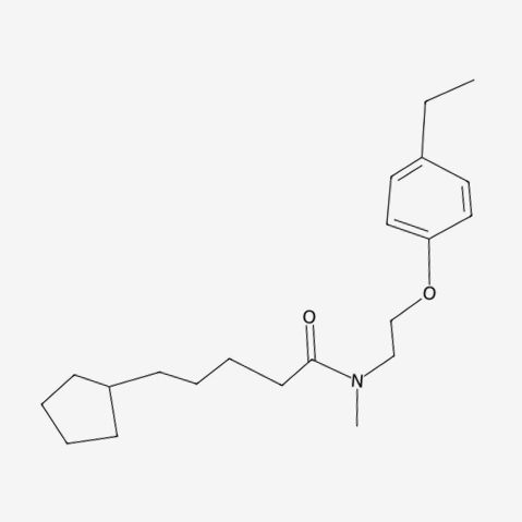 CCc1ccc(OCCN(C)C(=O)CCCCC2CCCC2)cc1